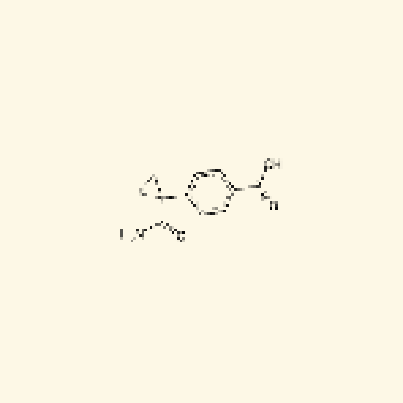 NC(=O)C1(c2ccc([PH](=O)O)cc2)CC1